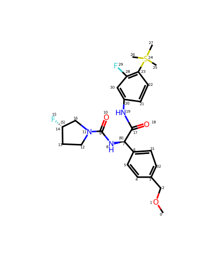 COCc1ccc([C@@H](NC(=O)N2CC[C@H](F)C2)C(=O)Nc2ccc(S(C)(C)C)c(F)c2)cc1